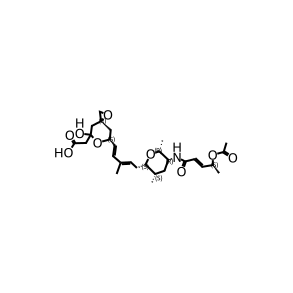 CC(=O)O[C@@H](C)C=CC(=O)N[C@@H]1C[C@H](C)[C@H](CC=C(C)C=C[C@@H]2C[C@]3(CO3)CC(O)(CC(=O)O)O2)O[C@@H]1C